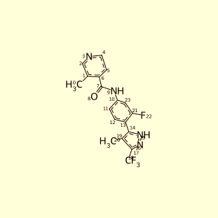 Cc1cnccc1C(=O)Nc1ccc(-c2[nH]nc(C(F)(F)F)c2C)c(F)c1